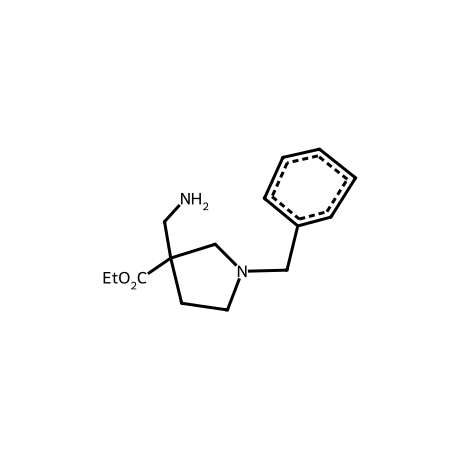 CCOC(=O)C1(CN)CCN(Cc2ccccc2)C1